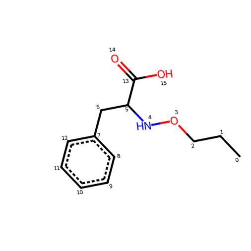 CCCONC(Cc1ccccc1)C(=O)O